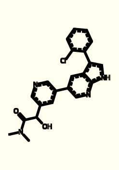 CN(C)C(=O)C(O)c1cncc(-c2cnc3[nH]cc(-c4ccccc4Cl)c3c2)c1